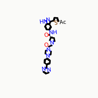 CC(=O)c1ccc(-c2n[nH]c3ccc(NC(=O)[C@@H]4CCN(CC(=O)N5CCN(c6ccc(-c7ncccn7)cc6)CC5)C4)cc23)s1